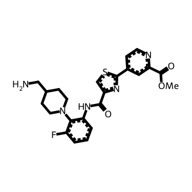 COC(=O)c1cc(-c2nc(C(=O)Nc3cccc(F)c3N3CCC(CN)CC3)cs2)ccn1